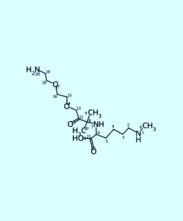 CNCCCCC(NC(C)(C)C(=O)COCCOCCN)C(=O)O